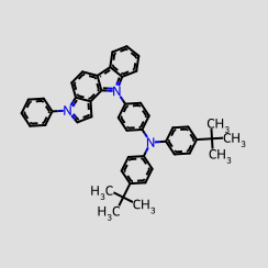 CC(C)(C)c1ccc(N(c2ccc(-n3c4ccccc4c4ccc5c(ccn5-c5ccccc5)c43)cc2)c2ccc(C(C)(C)C)cc2)cc1